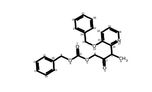 CC(C(=O)COC(=O)OCc1ccccc1)c1ncccc1OCc1ccccc1